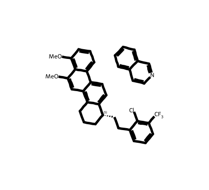 COc1cccc2c1c(OC)cc1c3c(ccc12)[C@H](CCc1cccc(C(F)(F)F)c1Cl)CCC3.c1ccc2cnccc2c1